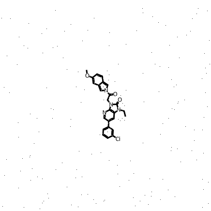 CCn1c(=O)n(CC(=O)n2cc3ccc(OC)cc3c2)c2ncc(-c3cccc(Cl)c3)cc21